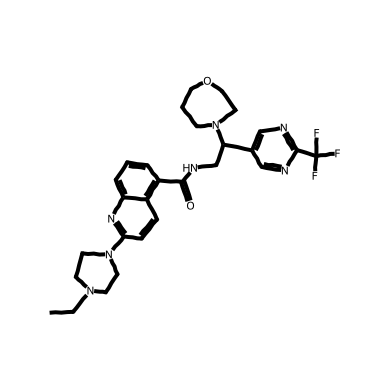 CCN1CCN(c2ccc3c(C(=O)NCC(c4cnc(C(F)(F)F)nc4)N4CCCOCC4)cccc3n2)CC1